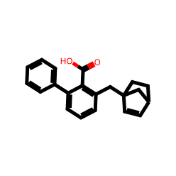 O=C(O)c1c(CC23C=CC(CC2)C3)cccc1-c1ccccc1